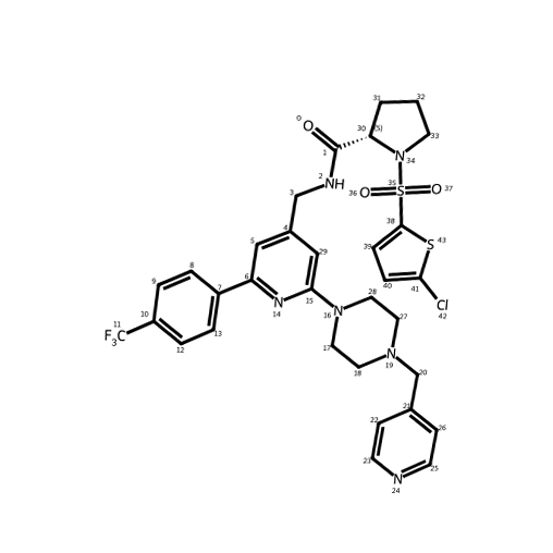 O=C(NCc1cc(-c2ccc(C(F)(F)F)cc2)nc(N2CCN(Cc3ccncc3)CC2)c1)[C@@H]1CCCN1S(=O)(=O)c1ccc(Cl)s1